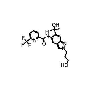 CC(C)(O)c1cc2nn(CCCO)cc2cc1NC(=O)c1cccc(C(F)(F)F)n1